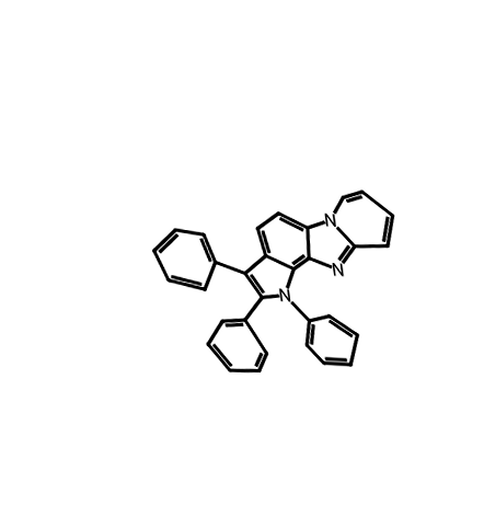 c1ccc(-c2c(-c3ccccc3)n(-c3ccccc3)c3c2ccc2c3nc3ccccn32)cc1